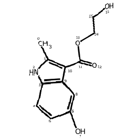 Cc1[nH]c2ccc(O)cc2c1C(=O)OCCO